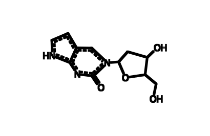 O=c1nc2[nH]ccc2cn1C1CC(O)C(CO)O1